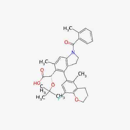 Cc1ccccc1C(=O)N1CCc2c1cc(C)c([C@H](OC(C)(C)C)C(=O)O)c2-c1cc(F)c2c(c1C)CCCO2